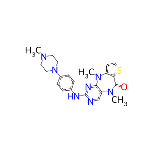 CN1CCN(c2ccc(Nc3ncc4c(n3)N(C)c3ccsc3C(=O)N4C)cc2)CC1